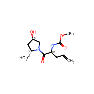 C=CC[C@H](NC(=O)OC(C)(C)C)C(=O)N1C[C@H](O)C[C@H]1C(=O)O